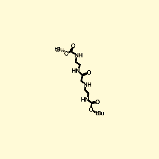 CC(C)(C)OC(=O)NCCNCC(=O)NCCNC(=O)OC(C)(C)C